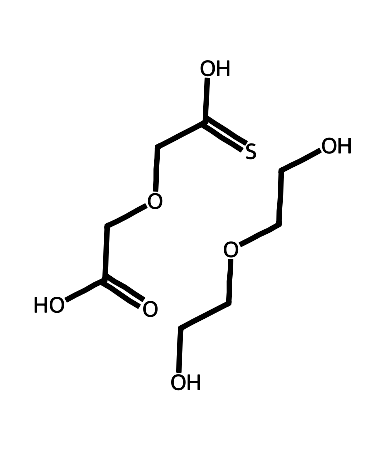 O=C(O)COCC(O)=S.OCCOCCO